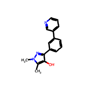 Cc1c(O)c(-c2cccc(-c3cccnc3)c2)nn1C